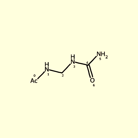 CC(=O)NCNC(N)=O